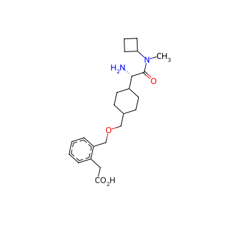 CN(C(=O)[C@@H](N)C1CCC(COCc2ccccc2CC(=O)O)CC1)C1CCC1